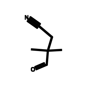 CC(C)(C=O)CC#N